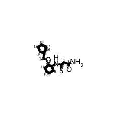 NC(=O)CC(=S)Nc1ccccc1OCc1ccccc1